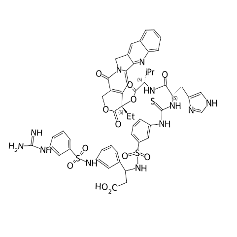 CC[C@@]1(OC(=O)[C@@H](NC(=O)[C@H](Cc2c[nH]cn2)NC(=S)Nc2cccc(S(=O)(=O)NC(CC(=O)O)c3cccc(NS(=O)(=O)c4cccc(NC(=N)N)c4)c3)c2)C(C)C)C(=O)OCc2c1cc1n(c2=O)Cc2cc3ccccc3nc2-1